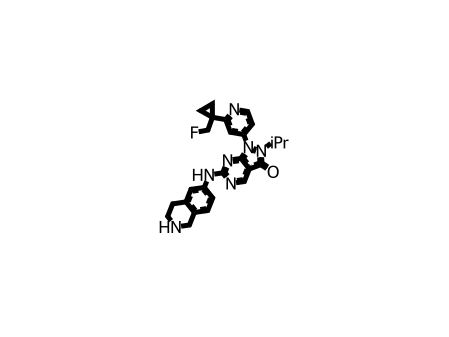 CC(C)n1c(=O)c2cnc(Nc3ccc4c(c3)CCNC4)nc2n1-c1ccnc(C2(CF)CC2)c1